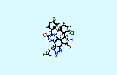 Cn1nc2c3c(c(N4C(C(N)=O)c5ccc(F)cc5S4(=O)=O)cc2c1CC(F)F)C(c1cc(F)ccc1Cl)NC3=O